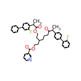 CC(C(=O)CCCC(CCOC(=O)c1cccnc1)CCOC(=O)C(C)c1ccc(-c2ccccc2)cc1F)c1ccc(-c2ccccc2F)cc1